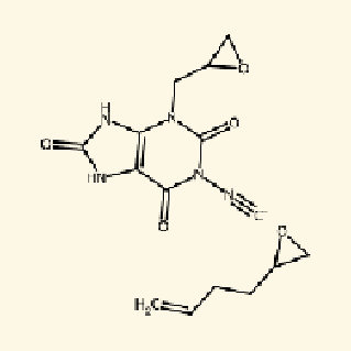 C=CCCC1CO1.[C-]#[N+]n1c(=O)c2[nH]c(=O)[nH]c2n(CC2CO2)c1=O